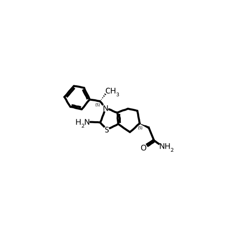 C[C@@H](c1ccccc1)N1C2=C(C[C@H](CC(N)=O)CC2)SC1N